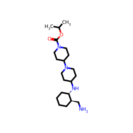 CC(C)OC(=O)N1CCC(N2CCC(N[C@H]3CCCC[C@@H]3CN)CC2)CC1